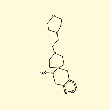 CN1Cc2ccccc2CC12CCN(CCN1CCOCC1)CC2